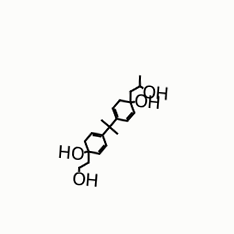 CC(O)CC1(O)C=CC(C(C)(C)C2=CCC(O)(CCO)C=C2)=CC1